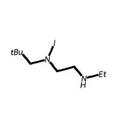 CCNCCN(I)CC(C)(C)C